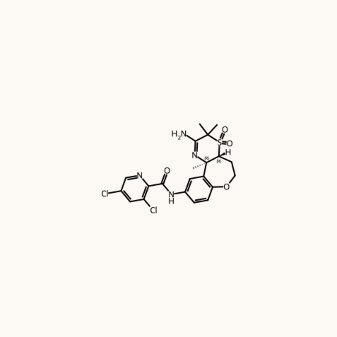 CC1(C)C(N)=N[C@]2(C)c3cc(NC(=O)c4ncc(Cl)cc4Cl)ccc3OCC[C@H]2S1(=O)=O